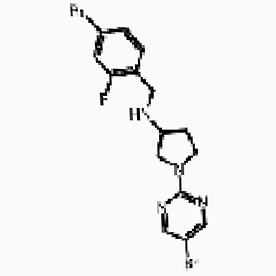 Fc1cc(Br)ccc1CNC1CCN(c2ncc(Br)cn2)C1